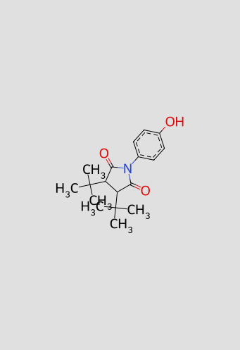 CC(C)(C)C1C(=O)N(c2ccc(O)cc2)C(=O)C1C(C)(C)C